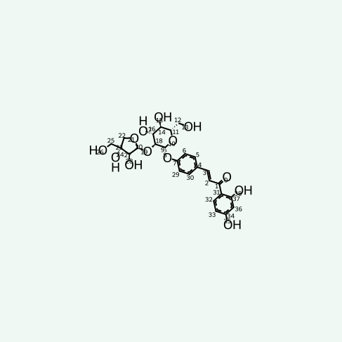 O=C(C=Cc1ccc(O[C@H]2O[C@@H](CO)[C@H](O)[C@@H](O)[C@@H]2O[C@@H]2OC[C@](O)(CO)[C@@H]2O)cc1)c1ccc(O)cc1O